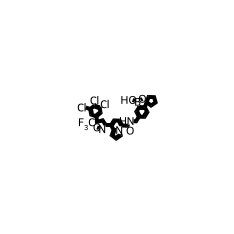 O=C(NCc1ccc2c(c1)B(O)OC21CCCC1)c1ccc(C2=NOC(c3cc(Cl)c(Cl)c(Cl)c3)(C(F)(F)F)C2)c2cccn12